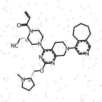 C=CC(=O)N1CCN(c2nc(OC[C@@H]3CCCN3C)nc3c2CCN(c2cncc4c2CCCCC4)C3)C[C@@H]1CC#N